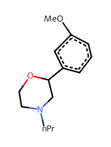 CCCN1CCOC(c2cccc(OC)c2)C1